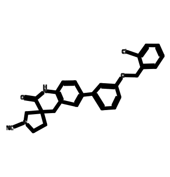 N#CN1CCC2(Cc3cc(-c4cccc(OCc5ccccc5Cl)c4)ccc3NC2=O)C1